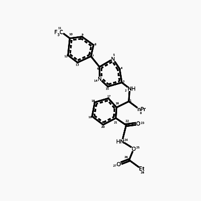 CCCC(Nc1cnc(-c2ccc(C(F)(F)F)cc2)nc1)c1ccccc1C(=O)NOC(=O)CC